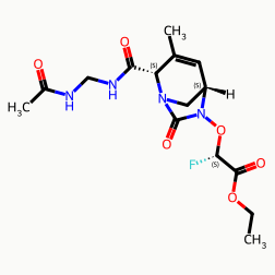 CCOC(=O)[C@H](F)ON1C(=O)N2C[C@@H]1C=C(C)[C@H]2C(=O)NCNC(C)=O